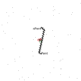 CCCCC/C=C\C/C=C\CCCCCCCCC(CCCCCCCCCCC/C=C\CCCCC)OC(=O)Cl